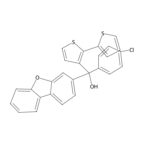 OC(c1ccc(Cl)cc1)(c1ccc2c(c1)oc1ccccc12)c1ccsc1-c1cccs1